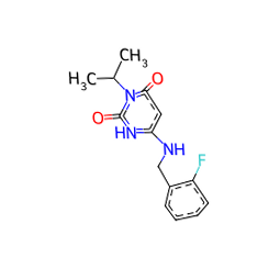 CC(C)n1c(=O)cc(NCc2ccccc2F)[nH]c1=O